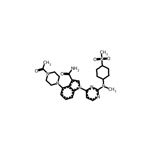 CC(=O)N1CCN(c2cccc3c2c(C(N)=O)cn3-c2ccnc(N(C)C3CCC(S(C)(=O)=O)CC3)n2)CC1